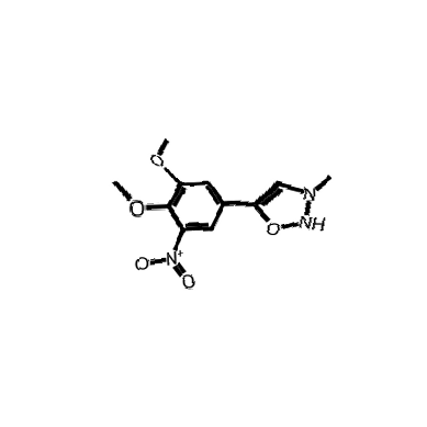 COc1cc(C2=CN(C)NO2)cc([N+](=O)[O-])c1OC